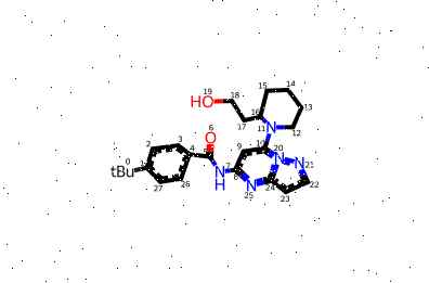 CC(C)(C)c1ccc(C(=O)Nc2cc(N3CCCCC3CCO)n3nccc3n2)cc1